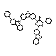 c1ccc(-c2ccc3c4ccccc4n(-c4ccc5oc6ccc(C7=NC(c8ccc9c(c8)oc8ccccc89)=NC(c8ccccc8)N7)cc6c5c4)c3c2)cc1